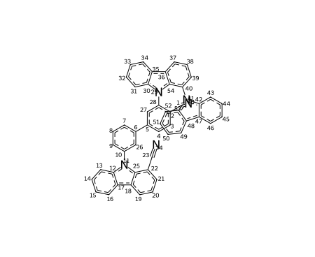 N#Cc1ccc(-c2cccc(-n3c4ccccc4c4cccc(C#N)c43)c2)cc1-n1c2ccccc2c2cccc(-n3c4ccccc4c4ccccc43)c21